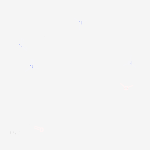 COC(=O)c1ccc(Cn2ccc3c(C4CCN(Cc5ccc(CN6CCOCC6)cc5)CC4)ccnc32)cc1